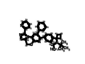 CC(C)(C)N(C(=O)O)C1(c2ccc(-c3nc4c(cc3-c3ccccc3)-n3c(nnc3-c3ccccn3)CO4)cc2)CCC1